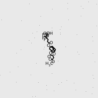 COC(=O)CC1OC2(OC1=O)C1CC3CC2CC(OC(=O)CCC(F)(F)C(F)(F)S(=O)(=O)O)(C3)C1